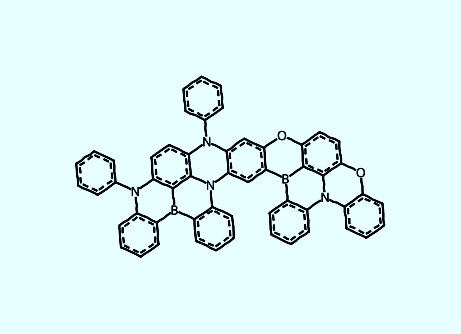 c1ccc(N2c3ccccc3B3c4ccccc4N4c5cc6c(cc5N(c5ccccc5)c5ccc2c3c54)Oc2ccc3c4c2B6c2ccccc2N4c2ccccc2O3)cc1